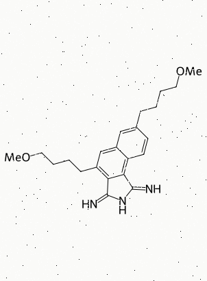 COCCCCc1ccc2c3c(c(CCCCOC)cc2c1)C(=N)NC3=N